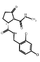 CNC(=O)N1C(=O)CC[C@H]1C(=O)NCc1ccc(Cl)cc1Cl